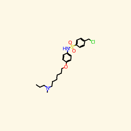 CCCN(C)CCCCCCOc1ccc(NS(=O)(=O)c2ccc(CCl)cc2)cc1